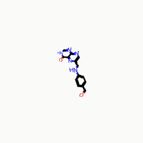 O=Cc1ccc(NCc2cnc3nc[nH]c(=O)c3n2)cc1